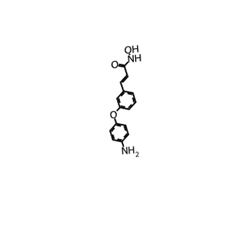 Nc1ccc(Oc2cccc(/C=C/C(=O)NO)c2)cc1